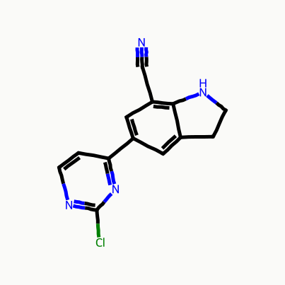 N#Cc1cc(-c2ccnc(Cl)n2)cc2c1NCC2